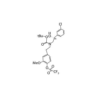 COc1cc(CCN(C[C@H](O)c2cccc(Cl)c2)C(=O)OC(C)(C)C)ccc1OS(=O)(=O)C(F)(F)F